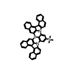 C[Si](C)(C)c1cc2c3c(c1)-n1c4ccc5ccccc5c4c4c5ccccc5cc(c41)B3c1cc3ccccc3c3c4c5ccccc5ccc4n-2c13